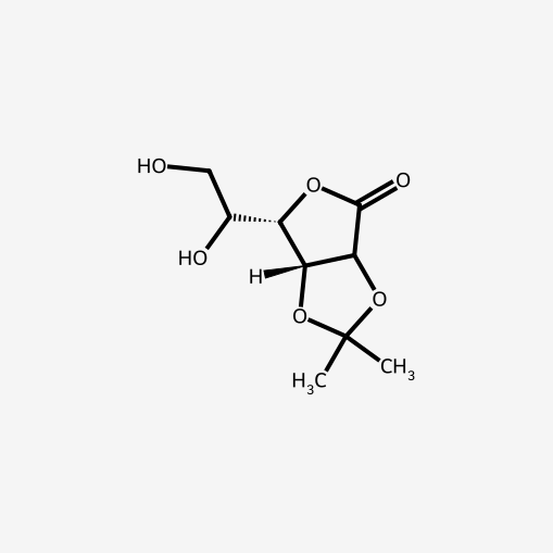 CC1(C)OC2C(=O)O[C@@H](C(O)CO)[C@H]2O1